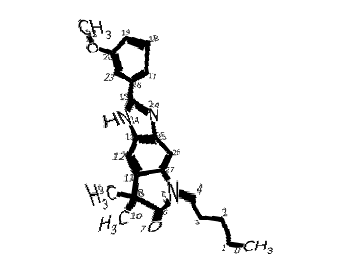 CCCCCN1C(=O)C(C)(C)c2cc3[nH]c(-c4cccc(OC)c4)nc3cc21